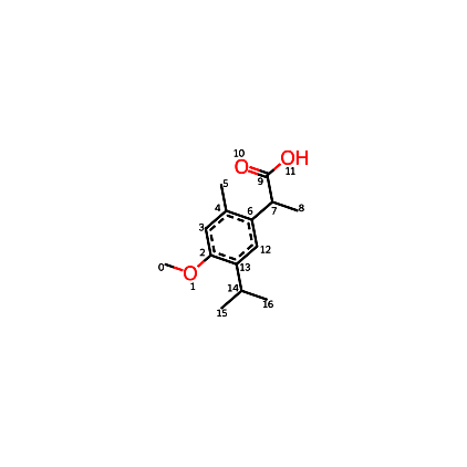 COc1cc(C)c(C(C)C(=O)O)cc1C(C)C